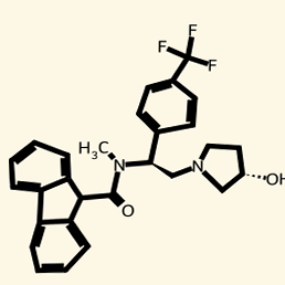 CN(C(=O)C1c2ccccc2-c2ccccc21)[C@H](CN1CC[C@H](O)C1)c1ccc(C(F)(F)F)cc1